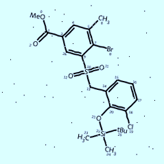 COC(=O)c1cc(C)c(Br)c(S(=O)(=O)Cc2cccc(Cl)c2O[Si](C)(C)C(C)(C)C)c1